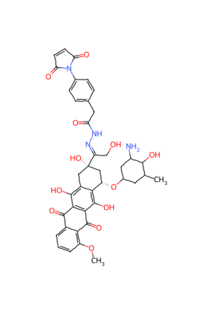 COc1cccc2c1C(=O)c1c(O)c3c(c(O)c1C2=O)C[C@@](O)(/C(CO)=N/NC(=O)Cc1ccc(N2C(=O)C=CC2=O)cc1)C[C@@H]3OC1CC(C)C(O)C(N)C1